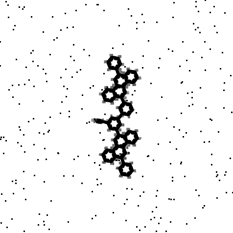 N#Cc1cc(-c2cccc(-c3cc4c5ccccc5c(-c5ccccc5)cc4c4ccccc34)c2)cc(-c2cc3c4ccccc4c(-c4ccccc4)cc3c3ccccc23)c1